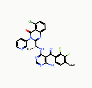 COc1ccc(C(=N)c2c(N)ncnc2N[C@H](C)c2nc3cccc(Cl)c3c(=O)n2-c2cccnc2)c(F)c1F